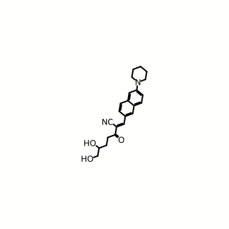 N#C/C(=C\c1ccc2cc(N3CCCCC3)ccc2c1)C(=O)CCC(O)CO